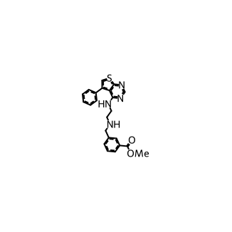 COC(=O)c1cccc(CNCCNc2ncnc3scc(-c4ccccc4)c23)c1